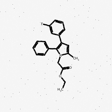 CCOC(=O)Cn1c(C)cc(-c2cccc(F)c2)c1-c1ccccc1